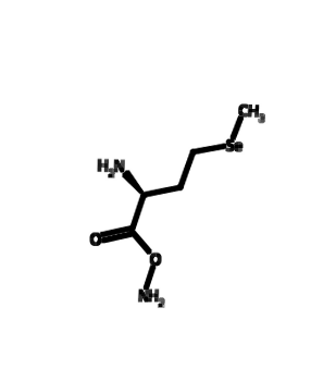 C[Se]CC[C@H](N)C(=O)ON